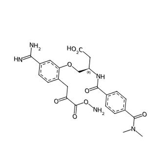 CN(C)C(=O)c1ccc(C(=O)N[C@@H](COc2cc(C(=N)N)ccc2CC(=O)C(=O)ON)CC(=O)O)cc1